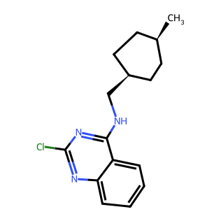 C[C@H]1CC[C@@H](CNc2nc(Cl)nc3ccccc23)CC1